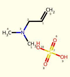 C=CCN(C)C.O=S(=O)(O)O